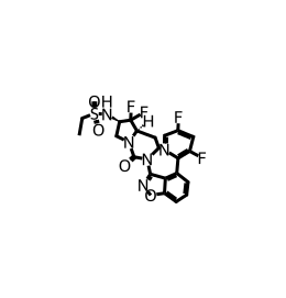 CCS(=O)(=O)N[C@@H]1CN2C(=O)N(c3noc4cccc(-c5ncc(F)cc5F)c34)CC[C@@H]2C1(F)F